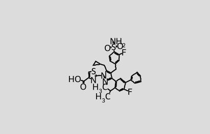 CC(C)c1cc(F)c(-c2ccccc2)cc1-c1nn(-c2nc(C(=O)O)cs2)c(CC2CC2)c1Cc1ccc(S(N)(=O)=O)c(F)c1